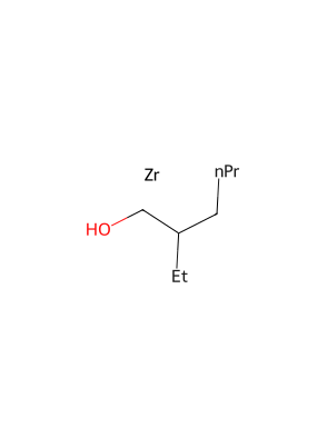 CCCCC(CC)CO.[Zr]